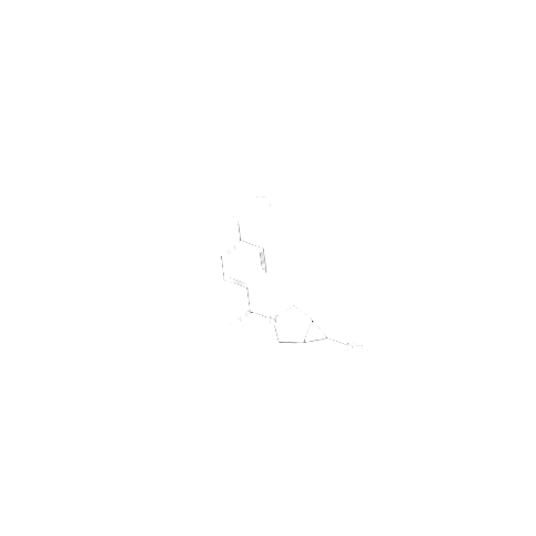 NC1C2CN(C(=O)c3ccc(OC(F)(F)F)cc3)CC12